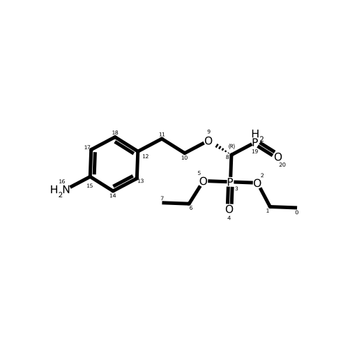 CCOP(=O)(OCC)[C@H](OCCc1ccc(N)cc1)[PH2]=O